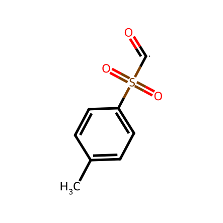 Cc1ccc(S(=O)(=O)[C]=O)cc1